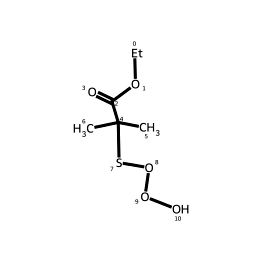 CCOC(=O)C(C)(C)SOOO